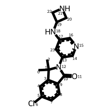 CC1(C)c2cc(Cl)ccc2C(=O)N1c1cncc(NC2CNC2)c1